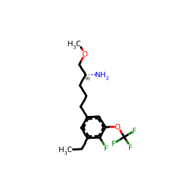 CCc1cc(CCC[C@@H](N)COC)cc(OC(F)(F)F)c1F